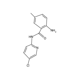 Cc1ccc(N)c(C(=O)Nc2ccc(Cl)cn2)c1